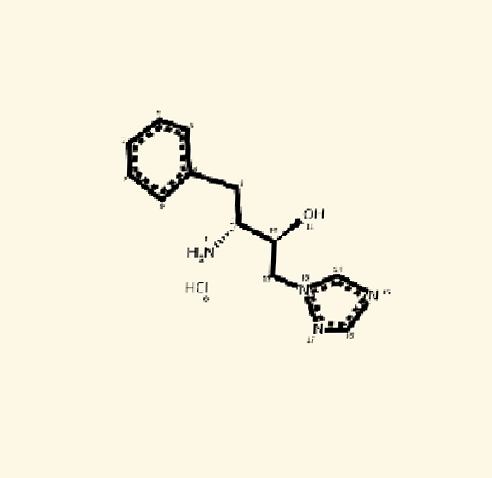 Cl.N[C@H](Cc1ccccc1)[C@@H](O)Cn1cncn1